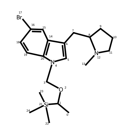 CC(OCn1cc(CC2CCCN2C)c2cc(Br)ccc21)[Si](C)(C)C